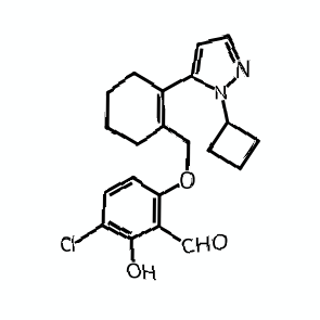 O=Cc1c(OCC2=C(c3ccnn3C3CCC3)CCCC2)ccc(Cl)c1O